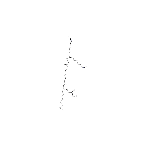 CC/C=C\CCCCOC(CCC(=O)OCCCCCCCN(CCCCCCCOC)CC/C(N)=N/N)OCCCC/C=C\CC